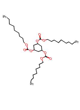 CC(C)CCCCCCCCOC(=O)OC1CC(OC(=O)OCCCCCCCCC(C)C)CC(OC(=O)OCCCCCCCCC(C)C)C1